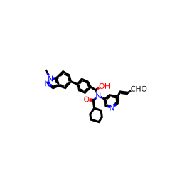 Cn1ncc2cc(-c3ccc(C(O)N(C(=O)C4CCCCC4)c4cncc(/C=C/C=O)c4)cc3)ccc21